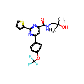 CC(C)(O)CNC(=O)c1cc(-c2ccc(OC(F)(F)F)cc2)nc(-c2cccs2)n1